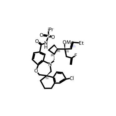 C=C(F)C[C@](/C=C/CC)(OC)[C@@H]1CC[C@H]1CN1C[C@@]2(CCCc3cc(Cl)ccc32)COc2ccc(C(=O)NS(=O)(=O)C(C)C)cc21